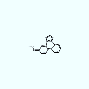 CON=C1C=CC2=C3C=CC=CC3c3cccn3C2=C1